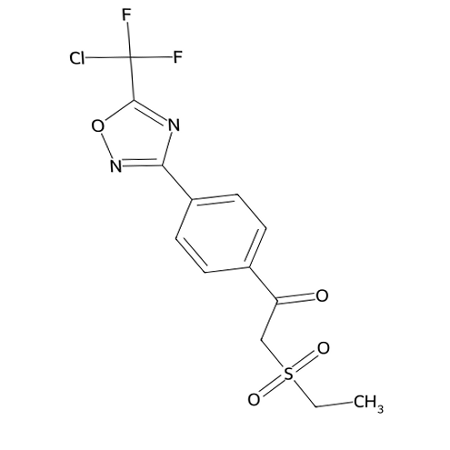 CCS(=O)(=O)CC(=O)c1ccc(-c2noc(C(F)(F)Cl)n2)cc1